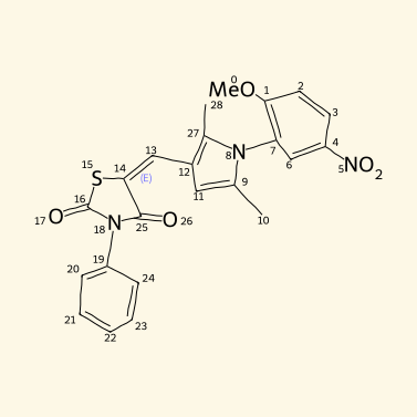 COc1ccc([N+](=O)[O-])cc1-n1c(C)cc(/C=C2/SC(=O)N(c3ccccc3)C2=O)c1C